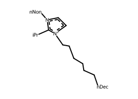 CCCCCCCCCCCCCCCC[n+]1ccn(CCCCCCCCC)c1C(C)C